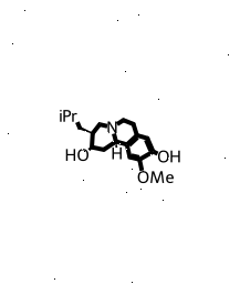 COc1cc2c(cc1O)CCN1C[C@H](CC(C)C)[C@H](O)C[C@H]21